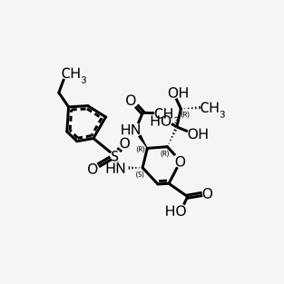 CCc1ccc(S(=O)(=O)N[C@H]2C=C(C(=O)O)O[C@@H](C(O)(O)[C@@H](C)O)[C@@H]2NC(C)=O)cc1